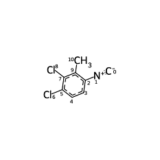 [C-]#[N+]c1ccc(Cl)c(Cl)c1C